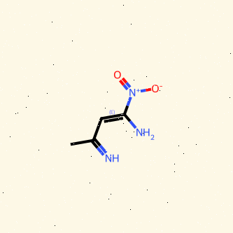 CC(=N)/C=C(\N)[N+](=O)[O-]